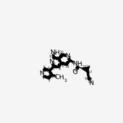 Cc1ccncc1-c1cc2cc(NC(=O)[C@H]3CC3C#N)ncc2c(N)n1